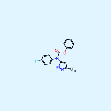 O=C(Oc1ccccc1)N(c1ccc(F)cc1)c1cc(C(F)(F)F)n[nH]1